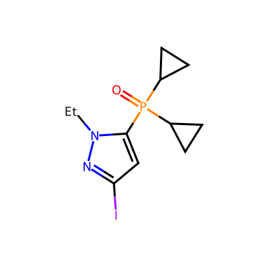 CCn1nc(I)cc1P(=O)(C1CC1)C1CC1